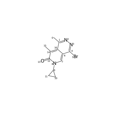 Cc1nnc(Br)c2cn(C3CC3)c(=O)c(C)c12